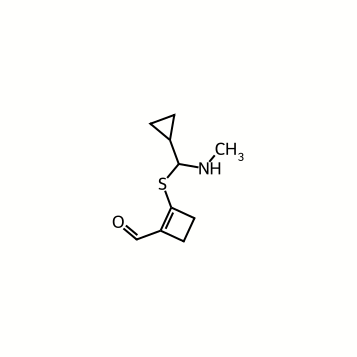 CNC(SC1=C(C=O)CC1)C1CC1